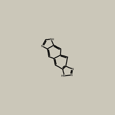 c1nc2cc3cc4[nH]nnc4cc3cc2[nH]1